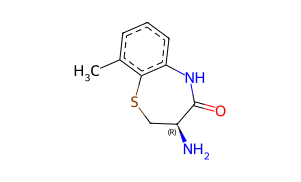 Cc1cccc2c1SC[C@H](N)C(=O)N2